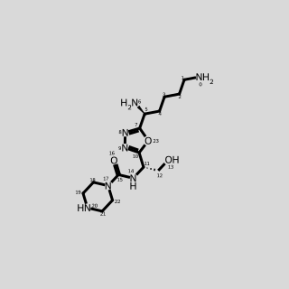 NCCCC[C@H](N)c1nnc([C@H](CO)NC(=O)N2CCNCC2)o1